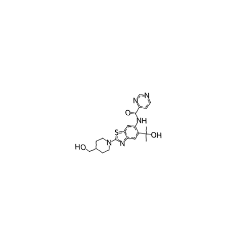 CC(C)(O)c1cc2nc(N3CCC(CO)CC3)sc2cc1NC(=O)c1ccncn1